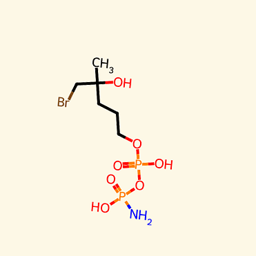 CC(O)(CBr)CCCOP(=O)(O)OP(N)(=O)O